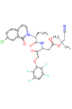 CC[C@@H](C(=O)NC(CC(=O)OC(C)(C)CC#N)C(=O)COc1c(F)c(F)cc(F)c1F)n1ccc2ccc(Cl)cc2c1=O